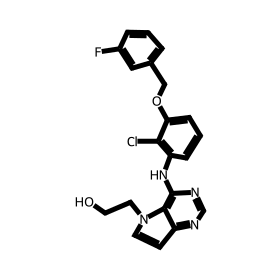 OCCn1ccc2ncnc(Nc3cccc(OCc4cccc(F)c4)c3Cl)c21